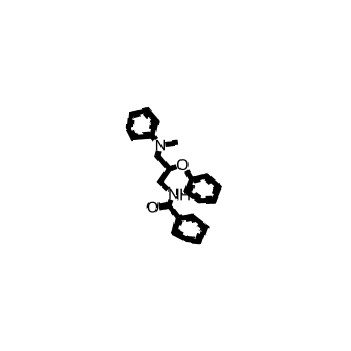 CN(CC(CNC(=O)c1ccccc1)Oc1ccccc1)c1ccccc1